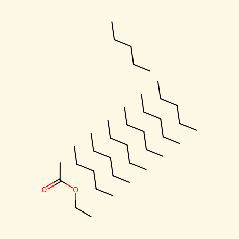 CCCCC.CCCCC.CCCCC.CCCCC.CCCCC.CCCCC.CCCCC.CCOC(C)=O